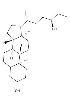 CC[C@@H](O)CC[C@@H](C)[C@H]1CC[C@H]2[C@@H]3CCC4C[C@@H](O)CC[C@]4(C)[C@H]3CC[C@]12C